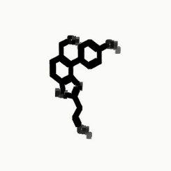 C=CCc1nc2c(-c3ccc(C)cc3)c(CC)ccc2[nH]1